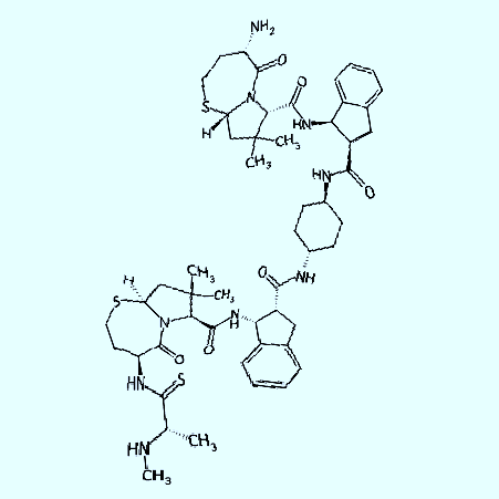 CN[C@@H](C)C(=S)N[C@H]1CCS[C@H]2CC(C)(C)[C@@H](C(=O)N[C@H]3c4ccccc4C[C@H]3C(=O)N[C@H]3CC[C@H](NC(=O)[C@@H]4Cc5ccccc5[C@@H]4NC(=O)[C@H]4N5C(=O)[C@@H](N)CCS[C@H]5CC4(C)C)CC3)N2C1=O